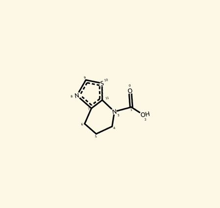 O=C(O)N1CCCc2ncsc21